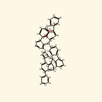 c1ccc(-c2ccccc2N(c2ccc3c(c2)C2(c4ccccc4-3)c3ccccc3-c3ccc(-c4ccccc4)c4cccc2c34)c2ccc3c(c2)oc2ccccc23)cc1